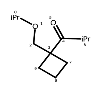 CC(C)OCC1(C(=O)C(C)C)CCC1